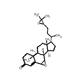 CC(CCC1OC1(C)C)[C@H]1CC[C@H]2[C@@H]3C4OC4C4=CC(=O)CC[C@]4(C)[C@H]3CC[C@]12C